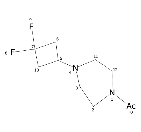 CC(=O)N1CCN(C2CC(F)(F)C2)CC1